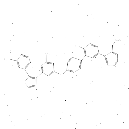 CNCc1ccccc1-c1ccc(C)c(-c2ccc(Oc3cc(C)cc(-c4ccsc4-c4cccc(C)c4)c3)cc2)c1